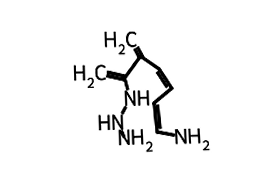 C=C(/C=C\C=C/N)C(=C)NNN